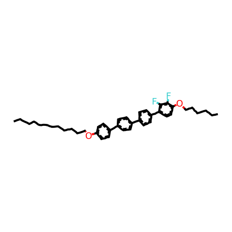 CCCCCCCCCCCCOc1ccc(-c2ccc(-c3ccc(-c4ccc(OCCCCCC)c(F)c4F)cc3)cc2)cc1